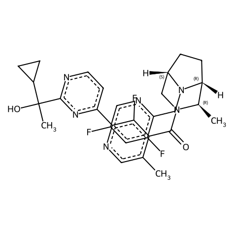 Cc1cnc(-c2ccnc(C(C)(O)C3CC3)n2)c(F)c1C(=O)N1C[C@@H]2CC[C@H]([C@H]1C)N2Cc1ncc(F)cc1F